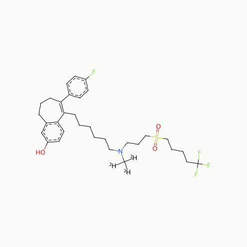 [2H]C([2H])([2H])N(CCCCCCC1=C(c2ccc(F)cc2)CCCc2cc(O)ccc21)CCCS(=O)(=O)CCCCC(F)(F)F